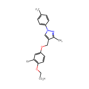 CCc1cc(OCc2cn(-c3ccc(C(F)(F)F)cc3)nc2C)ccc1OCC(=O)O